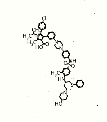 Cc1cc(S(=O)(=O)Nc2ccc(N3CCN(c4cccc(-c5c(C(=O)O)c(C)n(C(C)C)c5-c5ccc(Cl)cc5)c4)CC3)cc2)ccc1N[C@H](CCN1CCC(O)CC1)CSc1ccccc1